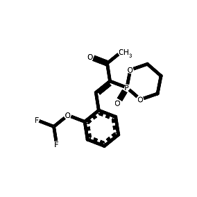 CC(=O)C(=Cc1ccccc1OC(F)F)P1(=O)OCCCO1